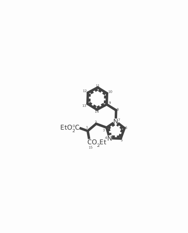 CCOC(=O)C(Cc1nccn1Cc1ccccc1)C(=O)OCC